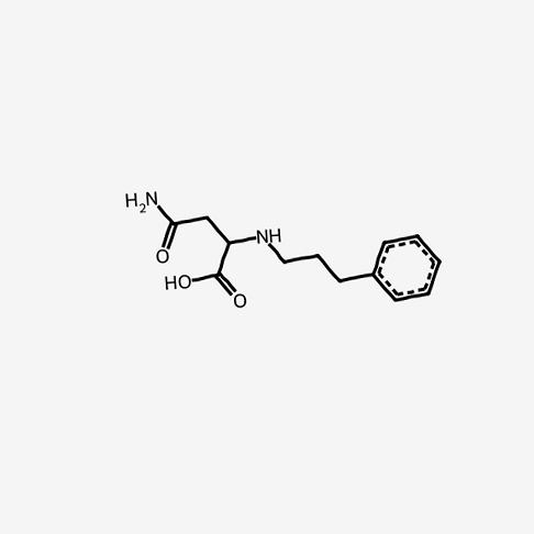 NC(=O)CC(NCCCc1ccccc1)C(=O)O